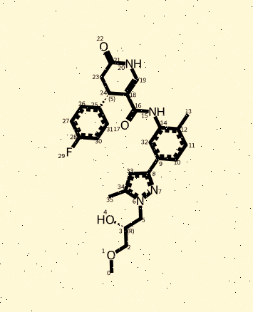 COC[C@H](O)Cn1nc(-c2ccc(C)c(NC(=O)C3=CNC(=O)C[C@H]3c3ccc(F)cc3)c2)cc1C